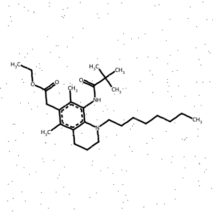 CCCCCCCCN1CCCc2c(C)c(CC(=O)OCC)c(C)c(NC(=O)C(C)(C)C)c21